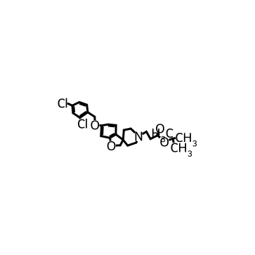 CC(C)(C)OC(=O)CCN1CCC2(CC1)COc1cc(OCc3ccc(Cl)cc3Cl)ccc12